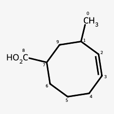 CC1/C=C\CCCC(C(=O)O)C1